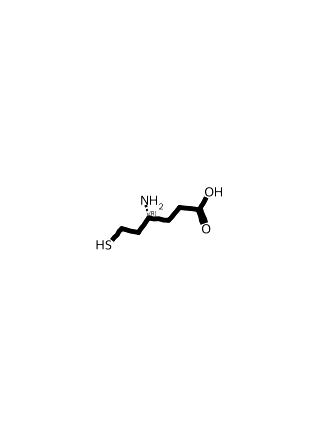 N[C@@H](CCS)CCC(=O)O